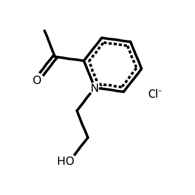 CC(=O)c1cccc[n+]1CCO.[Cl-]